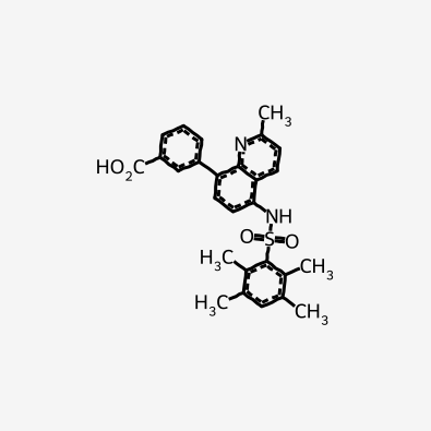 Cc1ccc2c(NS(=O)(=O)c3c(C)c(C)cc(C)c3C)ccc(-c3cccc(C(=O)O)c3)c2n1